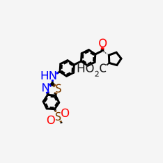 CS(=O)(=O)c1ccc2nc(Nc3ccc(-c4ccc(C(=O)[C@@H]5CCC[C@H]5C(=O)O)cc4)cc3)sc2c1